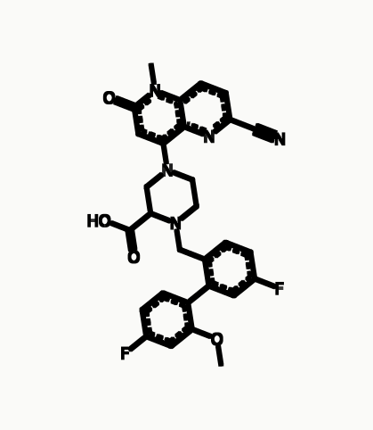 COc1cc(F)ccc1-c1cc(F)ccc1CN1CCN(c2cc(=O)n(C)c3ccc(C#N)nc23)CC1C(=O)O